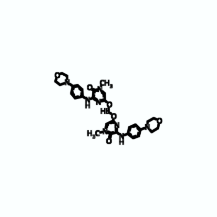 Cn1cc(OBOc2cn(C)c(=O)c(Nc3ccc(N4CCOCC4)cc3)n2)nc(Nc2ccc(N3CCOCC3)cc2)c1=O